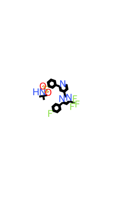 CC(C)(C)NS(=O)(=O)c1cccc(-c2cc(-c3nc(-c4ccc(F)cc4)cc(C(F)(F)F)n3)ccn2)c1